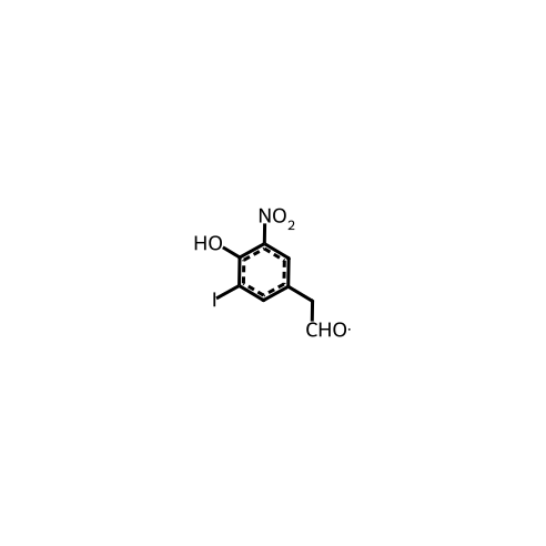 O=[C]Cc1cc(I)c(O)c([N+](=O)[O-])c1